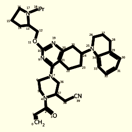 C=CC(=O)N1CCN(c2nc(OCC3CCCN3C(C)C)nc3c2CCC(N2CCCc4ccccc42)C3)CC1CC#N